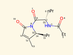 CCC[C@H](NC(=O)CC)C(=O)N1C(=O)C=C(C)[C@@H]1CCC